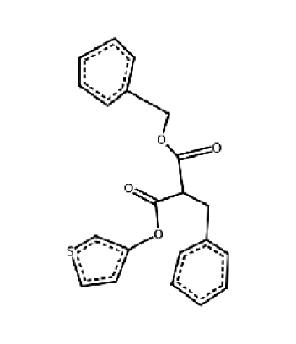 O=C(OCc1ccccc1)C(Cc1ccccc1)C(=O)Oc1ccsc1